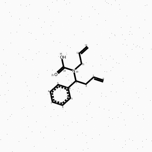 C=CCC(c1ccccc1)N(CC=C)C(=O)O